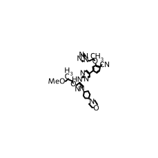 COCC(C)COc1nn(C2CCC(N3CCOCC3)CC2)cc1Nc1ncc(-c2ccc(C#N)c(O[C@@H](C)Cn3cnnn3)c2)cn1